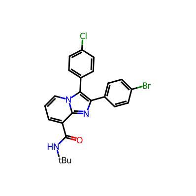 CC(C)(C)NC(=O)c1cccn2c(-c3ccc(Cl)cc3)c(-c3ccc(Br)cc3)nc12